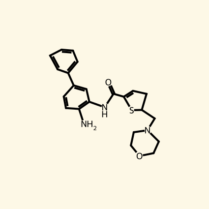 Nc1ccc(-c2ccccc2)cc1NC(=O)C1=CCC(CN2CCOCC2)S1